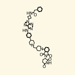 O=C1CC[C@H](N2C(=O)c3cccc(N4CCC(CN5CCC(c6ccc(Nc7ncnc8c7ncn8C7CC(NC(=O)Cc8ccccc8)C7)cc6)CC5)CC4)c3C2=O)C(=O)N1